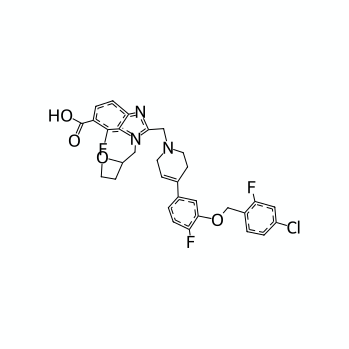 O=C(O)c1ccc2nc(CN3CC=C(c4ccc(F)c(OCc5ccc(Cl)cc5F)c4)CC3)n(CC3CCO3)c2c1F